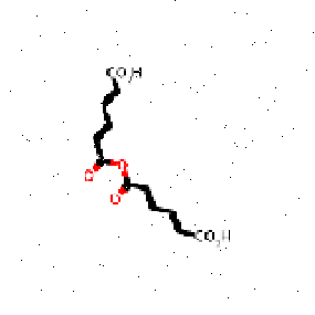 O=C(O)/C=C/C=C/C(=O)OC(=O)/C=C/C=C/C(=O)O